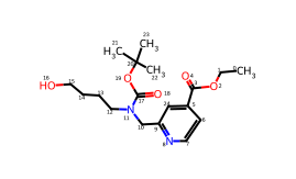 CCOC(=O)c1ccnc(CN(CCCCO)C(=O)OC(C)(C)C)c1